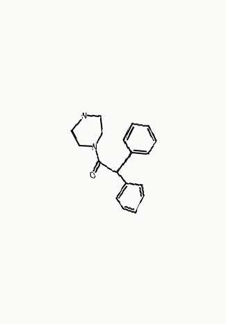 O=C(C(c1ccccc1)c1ccccc1)N1CC[N]CC1